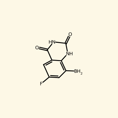 Bc1cc(F)cc2c(=O)[nH]c(=O)[nH]c12